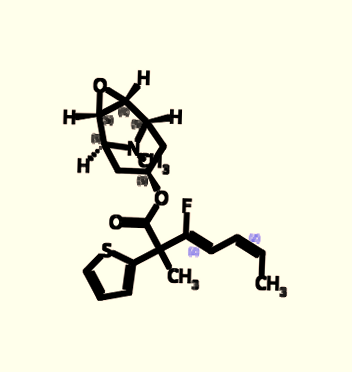 C/C=C\C=C(/F)C(C)(C(=O)O[C@H]1C[C@H]2[C@@H]3O[C@@H]3[C@H](C1)N2C)c1cccs1